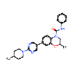 CCC1CN(C(=O)Nc2ccccc2)c2ccc(-c3cnc(N4CCC(C(C)=O)CC4)nc3)cc2O1